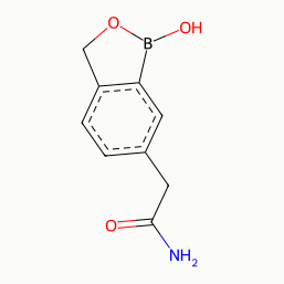 NC(=O)Cc1ccc2c(c1)B(O)OC2